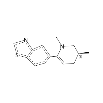 C[C@H]1CC=C(c2ccc3scnc3c2)N(C)C1